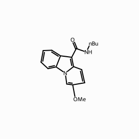 CCCCNC(=O)c1c2ccccc2n2cc(OC)ccc12